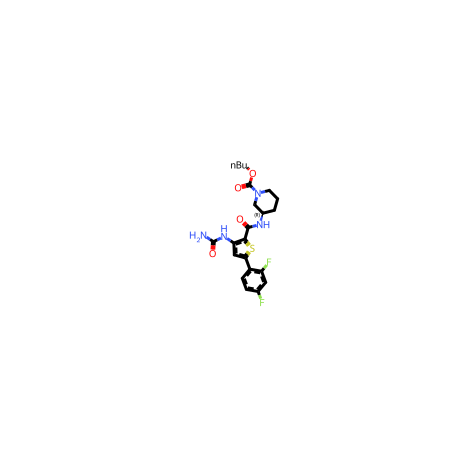 CCCCOC(=O)N1CCC[C@@H](NC(=O)c2sc(-c3ccc(F)cc3F)cc2NC(N)=O)C1